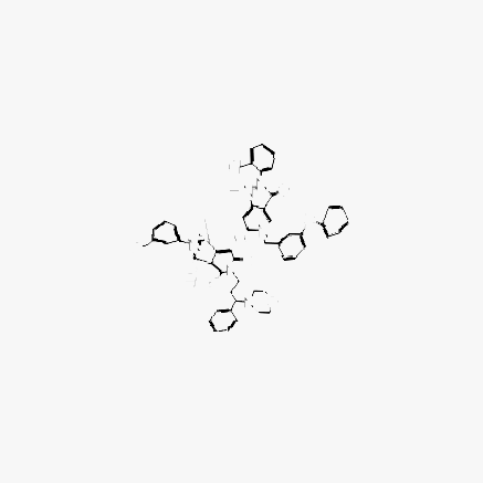 Cc1c2c(=O)n(-c3cccc(Cl)c3)[nH]c2cc(=O)n1CCC(c1ccccc1)N1CCOCC1.O=c1cc2[nH]n(-c3ccccc3Cl)c(=O)c2cn1Cc1cccc(Oc2ccccc2)c1